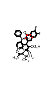 CN(C)C(C(N)=O)n1c(=O)c(C(=O)O)c(-c2ccccc2)c2c(N(NC(=O)c3ccc(F)c(F)c3)c3ccccc3)ccnc21